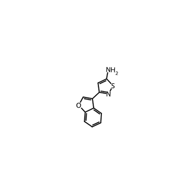 Nc1cc(-c2coc3ccccc23)ns1